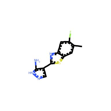 Cc1cc2sc(-c3cn[nH]c3N)nc2cc1F